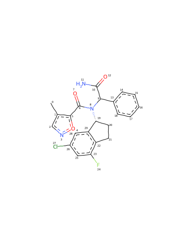 Cc1cnoc1C(=O)N(C(C(N)=O)c1ccccc1)[C@@H]1CCc2c(F)cc(Cl)cc21